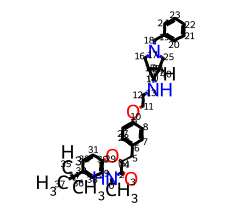 CNC(=O)[C@H](Cc1ccc(OCCN[C@H]2C3CN(Cc4ccccc4)C[C@@H]32)cc1)Oc1ccc(C(C)(C)C)cc1